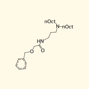 CCCCCCCCN(CCCCCCCC)CCCNC(=O)COCc1ccccc1